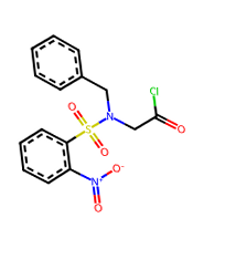 O=C(Cl)CN(Cc1ccccc1)S(=O)(=O)c1ccccc1[N+](=O)[O-]